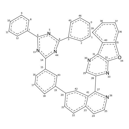 c1ccc(-c2nc(-c3ccccc3)nc(-c3cccc(-c4ccc5ccnc(-c6cnc7c(n6)oc6ccccc67)c5c4)c3)n2)cc1